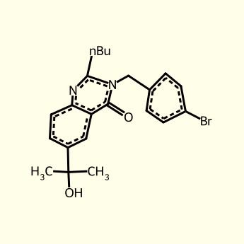 CCCCc1nc2ccc(C(C)(C)O)cc2c(=O)n1Cc1ccc(Br)cc1